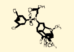 CNc1c2n(C)c3cc(N(CC(=O)O)S(=O)(=O)c4cc(Cl)cc(Cl)c4)cc(c13)C(=O)C2=O